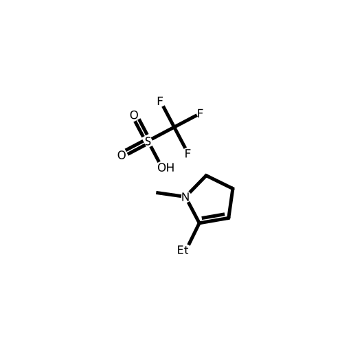 CCC1=CCCN1C.O=S(=O)(O)C(F)(F)F